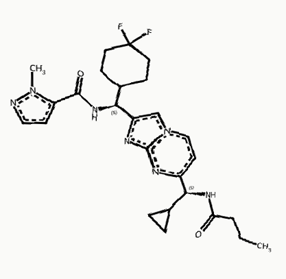 CCCC(=O)N[C@H](c1ccn2cc([C@@H](NC(=O)c3ccnn3C)C3CCC(F)(F)CC3)nc2n1)C1CC1